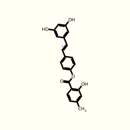 Cc1ccc(C(=O)Oc2ccc(/C=C/c3cc(O)cc(O)c3)cc2)c(O)c1